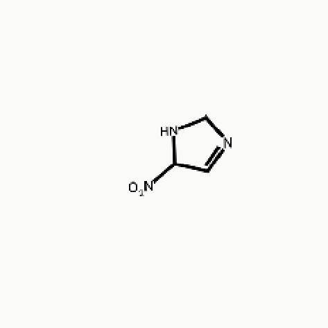 O=[N+]([O-])C1C=N[CH]N1